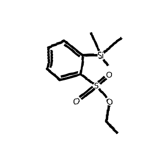 CCOS(=O)(=O)c1ccccc1[Si](C)(C)C